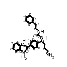 NCCCC(NC(=O)NCCc1ccccc1)c1ccc(C(=O)Nc2ccccc2N)cc1